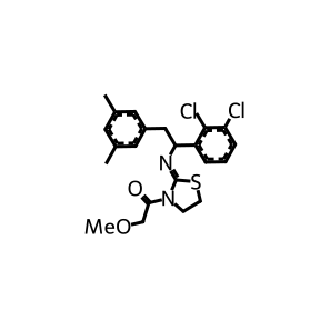 COCC(=O)N1CCSC1=NC(Cc1cc(C)cc(C)c1)c1cccc(Cl)c1Cl